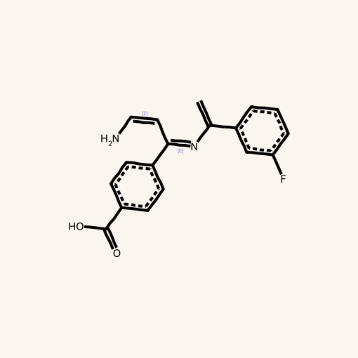 C=C(/N=C(\C=C/N)c1ccc(C(=O)O)cc1)c1cccc(F)c1